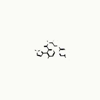 C=C(/C=N\C(=C/C)OC[C@H](C)N(CC)C(=O)c1nccc(C(F)(F)F)c1-c1ccn(C)n1)C(F)(F)F